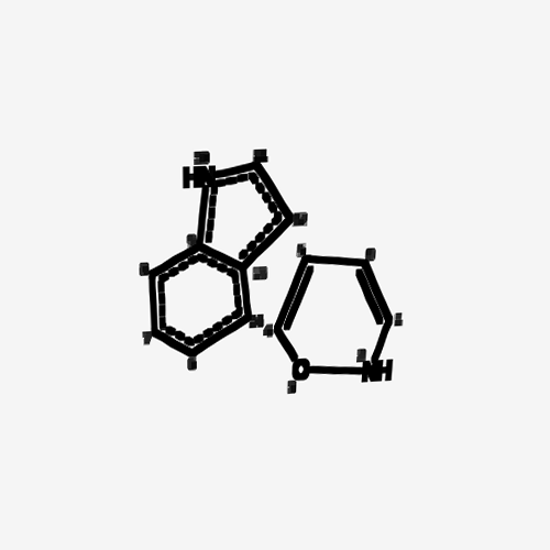 C1=CNOC=C1.c1ccc2[nH]ccc2c1